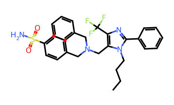 CCCCn1c(-c2ccccc2)nc(C(F)(F)F)c1CN(Cc1ccccc1)Cc1ccc(S(N)(=O)=O)cc1